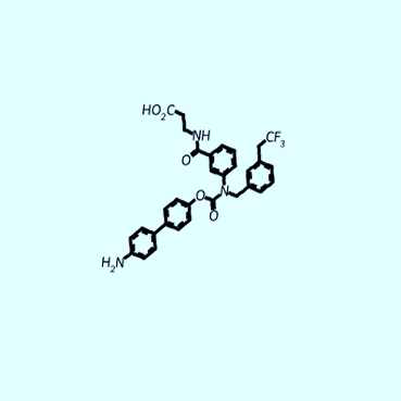 Nc1ccc(-c2ccc(OC(=O)N(Cc3cccc(CC(F)(F)F)c3)c3cccc(C(=O)NCCC(=O)O)c3)cc2)cc1